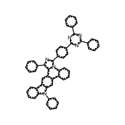 c1ccc(-c2nc(-c3ccccc3)nc(-c3ccc(-c4nc(-c5ccccc5)c5c6cc7c8ccccc8n(-c8ccccc8)c7cc6c6ccccc6n45)cc3)n2)cc1